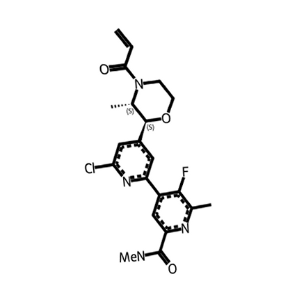 C=CC(=O)N1CCO[C@@H](c2cc(Cl)nc(-c3cc(C(=O)NC)nc(C)c3F)c2)[C@@H]1C